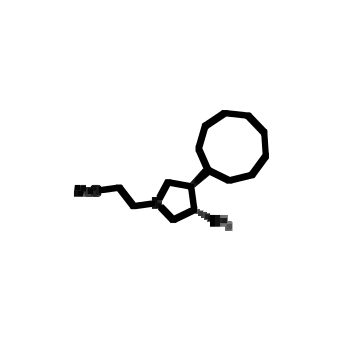 COCCN1C[C@@H](N)[C@H](C2CCCCCCCC2)C1